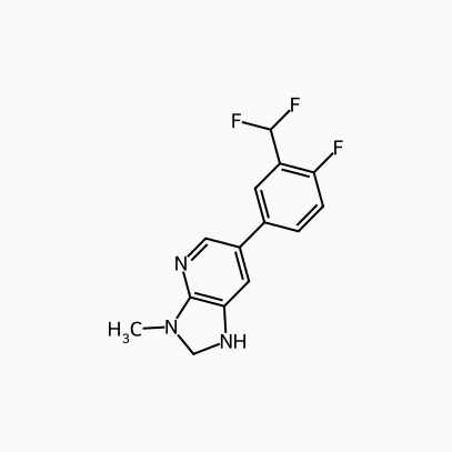 CN1CNc2cc(-c3ccc(F)c(C(F)F)c3)cnc21